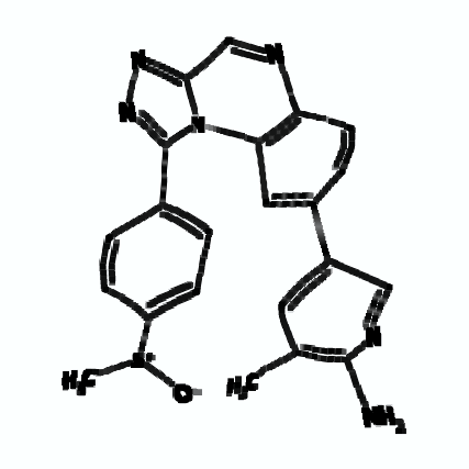 Cc1cc(-c2ccc3ncc4nnc(-c5ccc([S+](C)[O-])cc5)n4c3c2)cnc1N